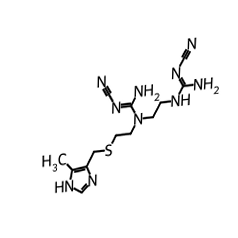 Cc1[nH]cnc1CSCCN(CCNC(N)=NC#N)C(N)=NC#N